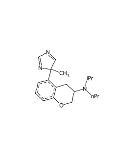 CCCN(C(C)C)C1COc2cccc(C3(C)C=NC=N3)c2C1